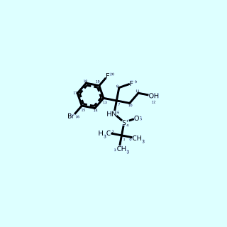 CC(C)(C)[S+]([O-])NC(CF)(CCO)c1cc(Br)ccc1F